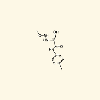 COBN[C@@H](CO)C(=O)Nc1ccc(C)cc1